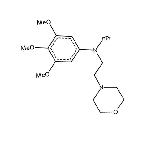 CCCN(CCN1CCOCC1)c1cc(OC)c(OC)c(OC)c1